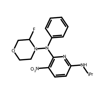 CC(C)Nc1ccc([N+](=O)[O-])c(N(c2ccccc2)N2CCOCC2F)n1